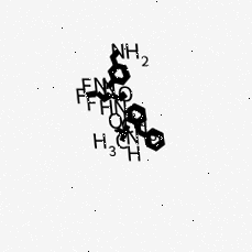 CC(C)(CO)NC(c1ccccc1)c1cccc(NC(=O)c2cc(C(F)(F)F)nn2-c2cccc(CN)c2)c1